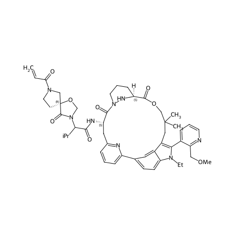 C=CC(=O)N1CC[C@]2(C1)OCN(C(C(=O)N[C@H]1Cc3cccc(n3)-c3ccc4c(c3)c(c(-c3cccnc3COC)n4CC)CC(C)(C)COC(=O)[C@@H]3CCCN(N3)C1=O)C(C)C)C2=O